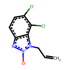 C=CCn1c2c(Cl)c(Cl)ccc2n[n+]1[O-]